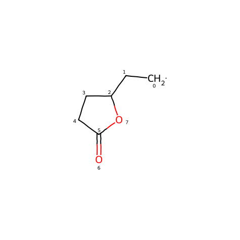 [CH2]CC1CCC(=O)O1